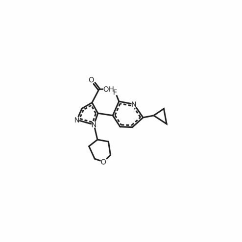 O=C(O)c1cnn(C2CCOCC2)c1-c1ccc(C2CC2)nc1F